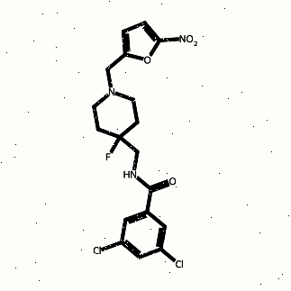 O=C(NCC1(F)CCN(Cc2ccc([N+](=O)[O-])o2)CC1)c1cc(Cl)cc(Cl)c1